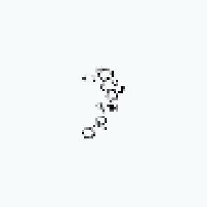 Nc1ncnc(Oc2ccc(NC(=O)c3cnn(-c4ccccc4)c3)cc2F)c1Cl